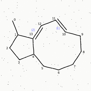 CC1CCC2CCCCC/C=C/C=C/12